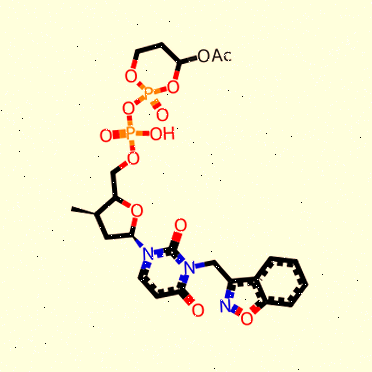 CC(=O)OC1CCOP(=O)(OP(=O)(O)OCC2O[C@@H](n3ccc(=O)n(Cc4noc5ccccc45)c3=O)C[C@H]2C)O1